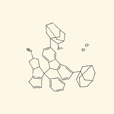 CC(C)(C)C1CC2C3=C(C=CC3)C(c3ccccc3)(C3c4ccc(C56CC7CC(CC(C7)C5)C6)cc4-c4cc(C56CC7CC(CC(C7)[CH]5[Zr+2])C6)ccc43)C2C1.[Cl-].[Cl-]